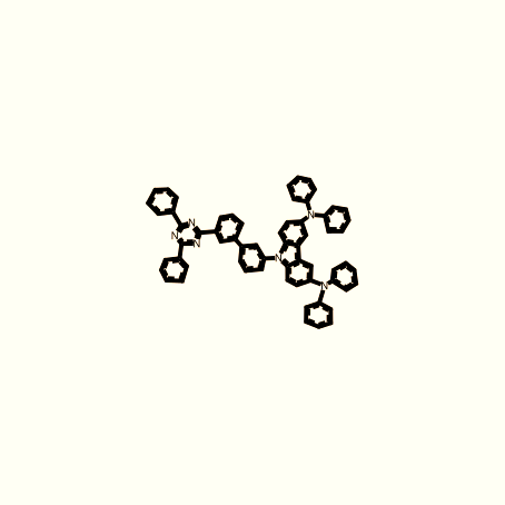 c1ccc(-c2nc(-c3ccccc3)nc(-c3cccc(-c4cccc(-n5c6ccc(N(c7ccccc7)c7ccccc7)cc6c6cc(N(c7ccccc7)c7ccccc7)ccc65)c4)c3)n2)cc1